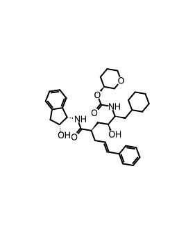 O=C(N[C@@H](CC1CCCCC1)[C@@H](O)C[C@@H](CC=Cc1ccccc1)C(=O)N[C@H]1c2ccccc2C[C@H]1O)O[C@H]1CCCOC1